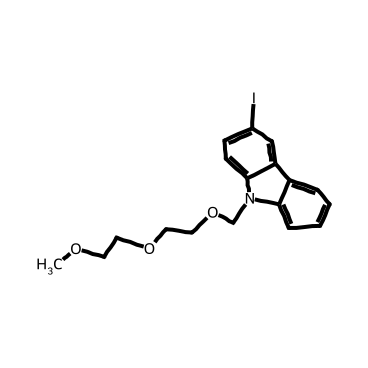 COCCOCCOCn1c2ccccc2c2cc(I)ccc21